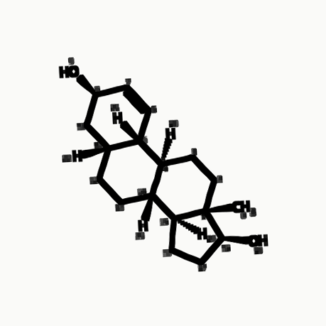 C[C@]12CC[C@@H]3[C@H]4C=C[C@H](O)C[C@H]4CC[C@H]3[C@@H]1CC[C@@H]2O